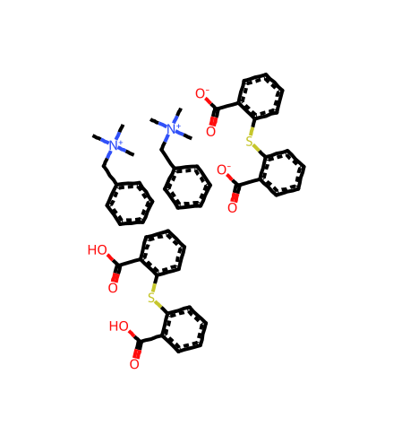 C[N+](C)(C)Cc1ccccc1.C[N+](C)(C)Cc1ccccc1.O=C(O)c1ccccc1Sc1ccccc1C(=O)O.O=C([O-])c1ccccc1Sc1ccccc1C(=O)[O-]